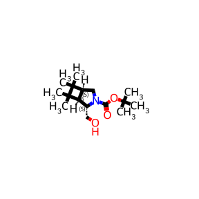 CC(C)(C)OC(=O)N1C[C@H]2[C@@H]([C@H]1CO)C(C)(C)C2(C)C